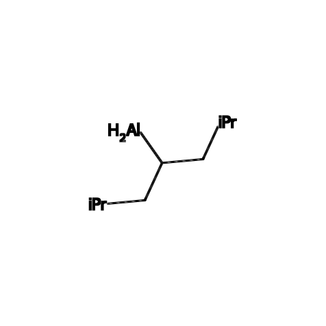 CC(C)C[CH]([AlH2])CC(C)C